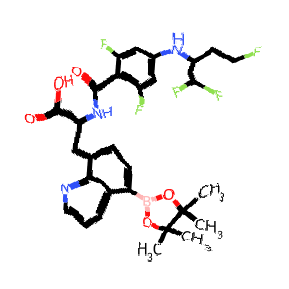 CC1(C)OB(c2ccc(CC(NC(=O)c3c(F)cc(NC(CCF)C(F)F)cc3F)C(=O)O)c3ncccc23)OC1(C)C